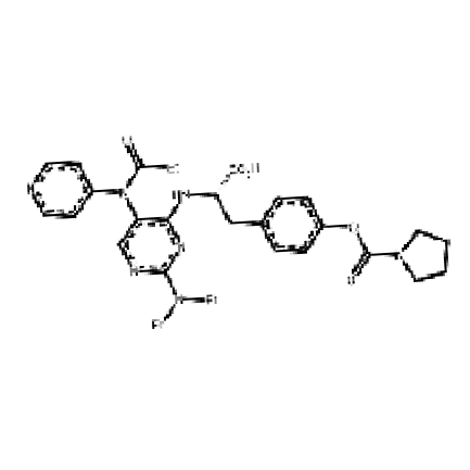 CCC(=O)N(c1ccncc1)c1cnc(N(CC)CC)nc1N[C@@H](Cc1ccc(OC(=O)N2CCCC2)cc1)C(=O)O